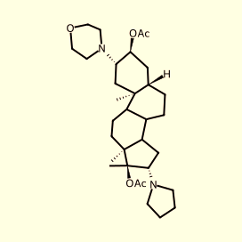 CC(=O)O[C@H]1C[C@@H]2CCC3C4C[C@H](N5CCCC5)[C@@](C)(OC(C)=O)[C@@]4(C)CCC3[C@@]2(C)C[C@@H]1N1CCOCC1